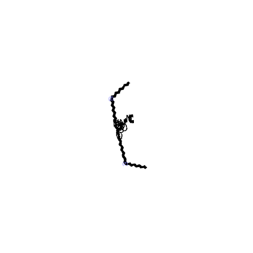 CCCCCCCC/C=C\CCCCCCCCOCC(COCCCCCCCC/C=C\CCCCCCCC)OS(=O)(=O)NCCN(CC)CC